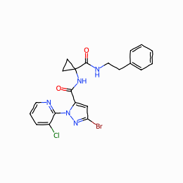 O=C(NC1(C(=O)NCCc2ccccc2)CC1)c1cc(Br)nn1-c1ncccc1Cl